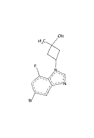 CC1(O)CC(n2cnc3cc(Br)cc(F)c32)C1